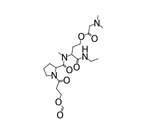 CCNC(=O)C(CCOC(=O)CN(C)C)N(C)C(=O)C1CCCN1C(=O)CCOC=O